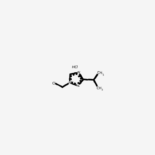 CC(C)c1ncn(CCl)n1.Cl